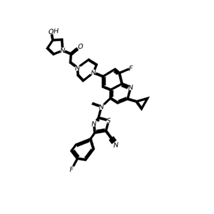 CN(c1nc(-c2ccc(F)cc2)c(C#N)s1)c1cc(C2CC2)nc2c(F)cc(N3CCN(CC(=O)N4CCC(O)C4)CC3)cc12